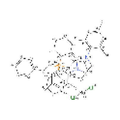 Cc1cc(C)c(N2CCN(c3c(C)cc(C)cc3C)C2=C2CCCCC2P(=CCc2ccccc2)(C2CCCCC2)C2CCCCC2)c(C)c1.[Cl][Ru][Cl]